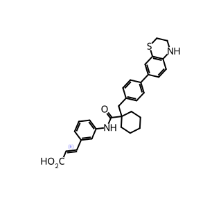 O=C(O)/C=C/c1cccc(NC(=O)C2(Cc3ccc(-c4ccc5c(c4)SCCN5)cc3)CCCCC2)c1